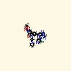 CC(C)n1cnc2cc(-c3ccc4c(c3)N(C3CC(N5CCCCC5)C3)C(=O)C43CCN(C(=O)OC(C)(C)C)CC3)nc(Nc3ccncc3F)c21